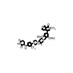 COc1cc(-c2cn(C)c(=O)c3cnccc23)cc(OC)c1CN1CCC(N2CCN(c3ccc(NC4CCC(=O)NC4=O)cc3C(F)(F)F)CC2)C(F)(F)C1